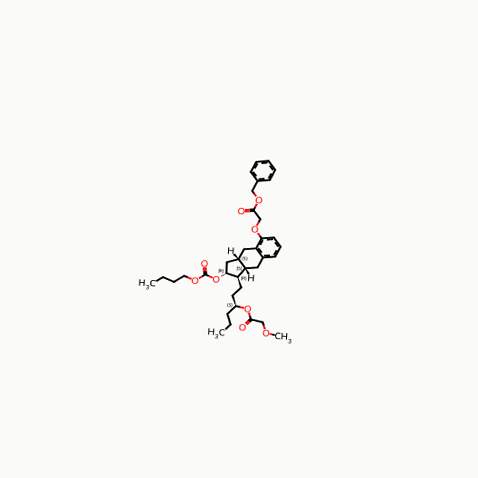 CCCCOC(=O)O[C@@H]1C[C@@H]2Cc3c(cccc3OCC(=O)OCc3ccccc3)C[C@@H]2[C@H]1CC[C@H](CCC)OC(=O)COC